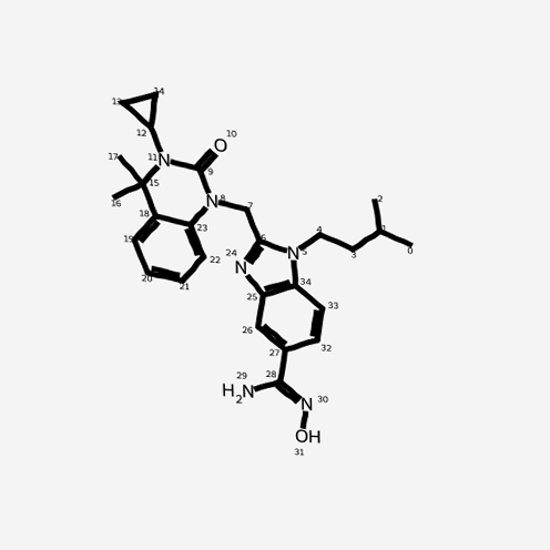 CC(C)CCn1c(CN2C(=O)N(C3CC3)C(C)(C)c3ccccc32)nc2cc(/C(N)=N/O)ccc21